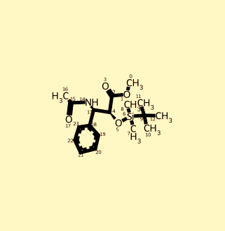 COC(=O)[C@@H](O[Si](C)(C)C(C)(C)C)[C@H](NC(C)=O)c1ccccc1